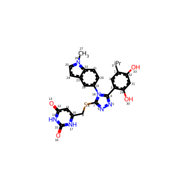 CC(C)c1cc(-c2nnc(SCc3cc(=O)[nH]c(=O)[nH]3)n2-c2ccc3c(ccn3C)c2)c(O)cc1O